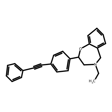 CCN1Cc2ccccc2OC(c2ccc(C#Cc3ccccc3)cc2)C1